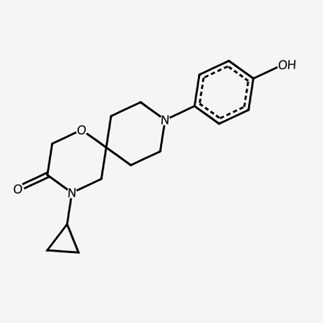 O=C1COC2(CCN(c3ccc(O)cc3)CC2)CN1C1CC1